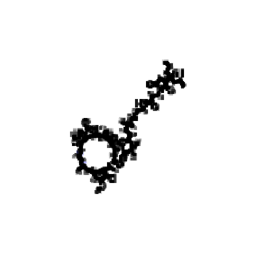 CCCC(S)(CCC)C1CC(=O)N(CCC(=O)NCCSSC(C)(C)CCC(=O)N(C)[C@@H](C)C(=O)O[C@H]2CC(=O)N(C)c3cc(cc(OC)c3Cl)C/C(C)=C/C=C/[C@@H](OC)[C@@]3(O)C[C@H](OC(=O)N3)[C@@H](C)[C@@H]3O[C@@]23C)C1=O